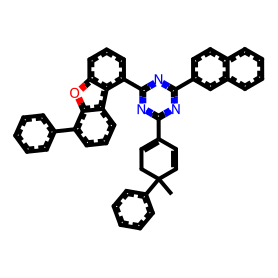 CC1(c2ccccc2)C=CC(c2nc(-c3ccc4ccccc4c3)nc(-c3cccc4oc5c(-c6ccccc6)cccc5c34)n2)=CC1